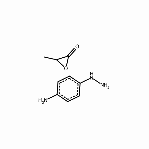 CC1OC1=O.NNc1ccc(N)cc1